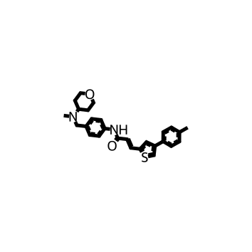 Cc1ccc(-c2csc(C=CC(=O)Nc3ccc(CN(C)C4CCOCC4)cc3)c2)cc1